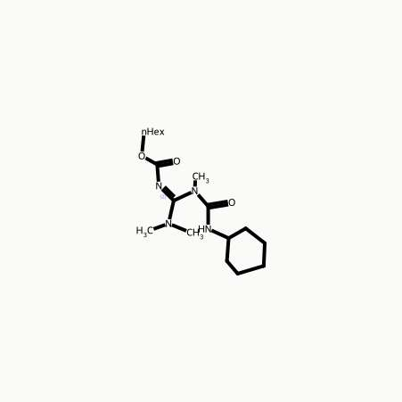 CCCCCCOC(=O)/N=C(/N(C)C)N(C)C(=O)NC1CCCCC1